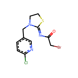 O=C(CBr)N=C1SCCN1Cc1ccc(Cl)nc1